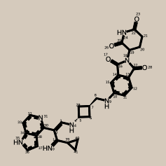 N=C(/C(=C\N[C@H]1C[C@H](CNc2ccc3c(c2)C(=O)N(C2CCC(=O)NC2=O)C3=O)C1)c1nccc2[nH]ccc12)C1CC1